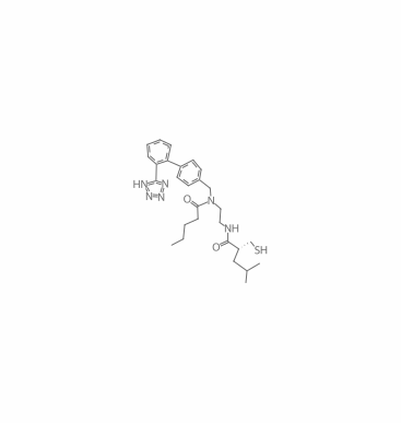 CCCCC(=O)N(CCNC(=O)[C@H](CS)CC(C)C)Cc1ccc(-c2ccccc2-c2nnn[nH]2)cc1